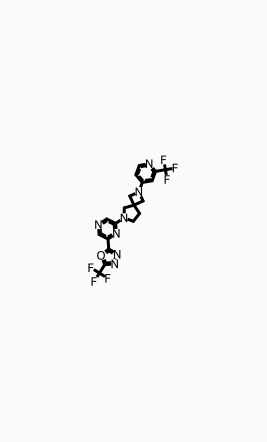 FC(F)(F)c1cc(N2CC3(CCN(c4cncc(-c5nnc(C(F)(F)F)o5)n4)C3)C2)ccn1